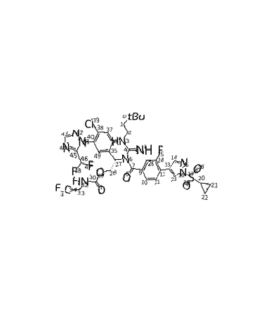 CC(C)(C)CCNC(=N)N(C(=O)c1ccc(-c2cnn(S(=O)(=O)C3CC3)c2)c(F)c1)[C@H](COC(=O)NCC(F)(F)F)c1ccc(Cl)c(-n2ncnc2C(F)F)c1